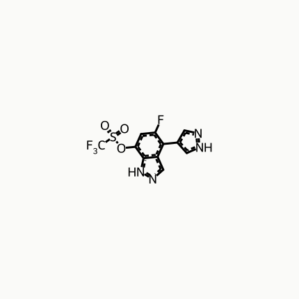 O=S(=O)(Oc1cc(F)c(-c2cn[nH]c2)c2cn[nH]c12)C(F)(F)F